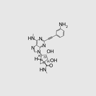 CNC(=O)[C@@]12C[C@@H]1[C@@H](n1cnc3c(NC)nc(C#Cc4cccc(N)c4)nc31)[C@H](O)[C@@H]2O